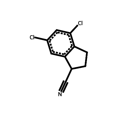 N#CC1CCc2c(Cl)cc(Cl)cc21